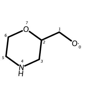 [O]CC1CNCCO1